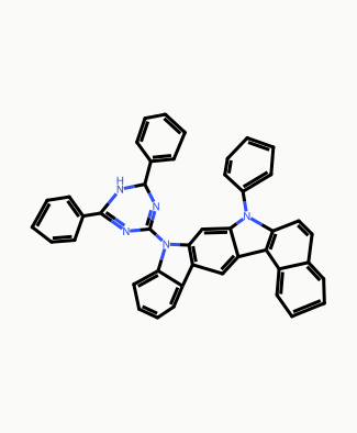 c1ccc(C2=NC(n3c4ccccc4c4cc5c6c7ccccc7ccc6n(-c6ccccc6)c5cc43)=NC(c3ccccc3)N2)cc1